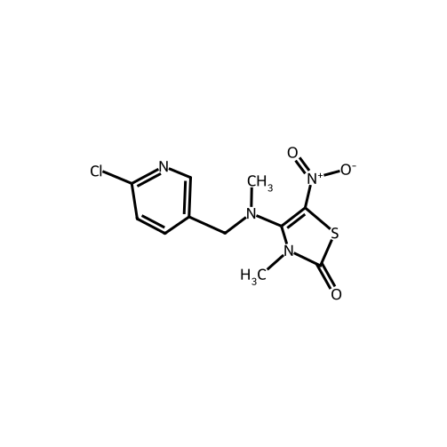 CN(Cc1ccc(Cl)nc1)c1c([N+](=O)[O-])sc(=O)n1C